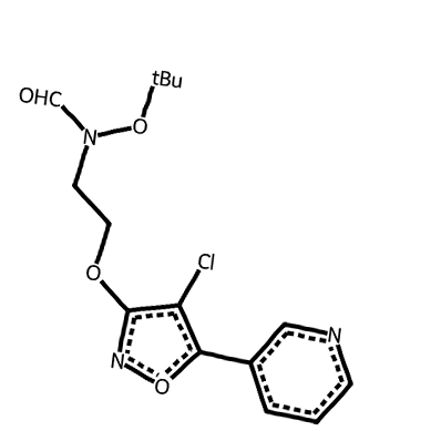 CC(C)(C)ON(C=O)CCOc1noc(-c2cccnc2)c1Cl